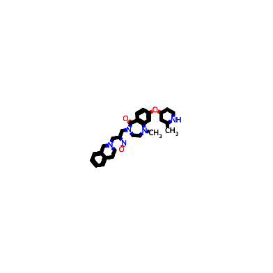 CC1CC(Oc2ccc3c(c2)N(C)CCN(CC(CN2CCc4ccccc4C2)N=O)C3=O)CCN1